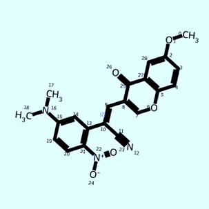 COc1ccc2occ(/C=C(\C#N)c3cc(N(C)C)ccc3[N+](=O)[O-])c(=O)c2c1